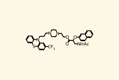 CC(=O)NCC(Oc1ccc2ccccc2c1)C(=O)OCCN1CCN(CCCN2c3ccccc3Sc3ccc(C(F)(F)F)cc32)CC1